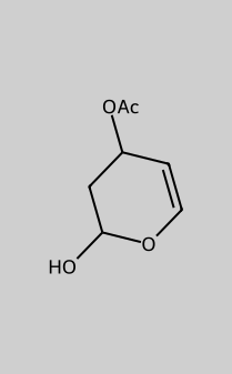 CC(=O)OC1C=COC(O)C1